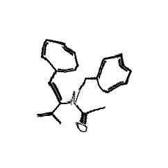 C=C(C)/C(=C/c1ccccc1)N(Cc1ccccc1)C(C)=O